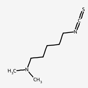 CN(C)CCCCCN=C=S